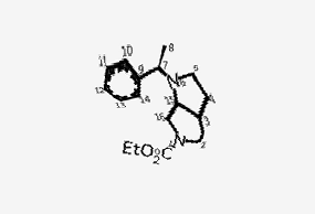 CCOC(=O)N1CC2CCN([C@H](C)c3ccccc3)C2C1